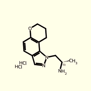 C[C@H](N)Cn1ncc2ccc3c(c21)CCCO3.Cl.Cl